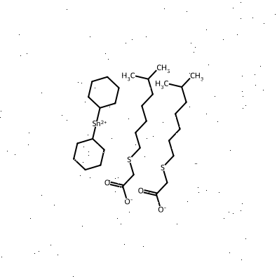 C1CC[CH]([Sn+2][CH]2CCCCC2)CC1.CC(C)CCCCCSCC(=O)[O-].CC(C)CCCCCSCC(=O)[O-]